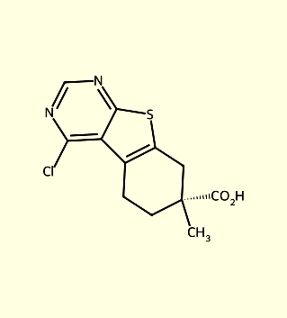 C[C@@]1(C(=O)O)CCc2c(sc3ncnc(Cl)c23)C1